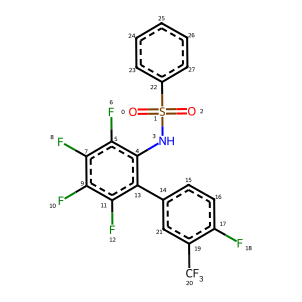 O=S(=O)(Nc1c(F)c(F)c(F)c(F)c1-c1ccc(F)c(C(F)(F)F)c1)c1ccccc1